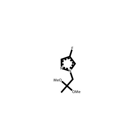 COC(C)(Cn1cc(F)cn1)OC